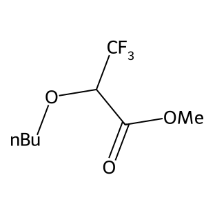 CCCCOC(C(=O)OC)C(F)(F)F